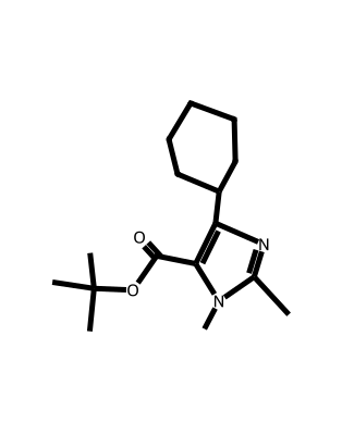 Cc1nc(C2CCCCC2)c(C(=O)OC(C)(C)C)n1C